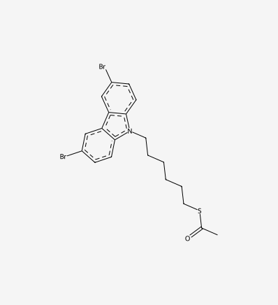 CC(=O)SCCCCCCn1c2ccc(Br)cc2c2cc(Br)ccc21